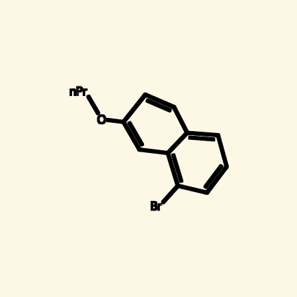 CCCOc1ccc2cccc(Br)c2c1